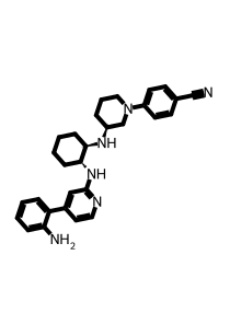 N#Cc1ccc(N2CCC[C@H](N[C@@H]3CCCC[C@H]3Nc3cc(-c4ccccc4N)ccn3)C2)cc1